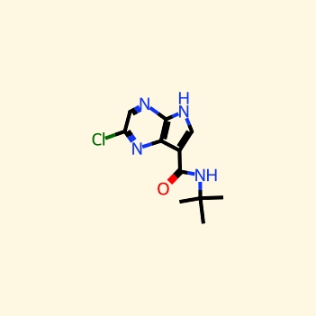 CC(C)(C)NC(=O)c1c[nH]c2ncc(Cl)nc12